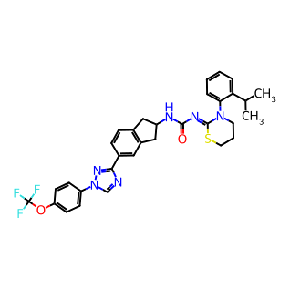 CC(C)c1ccccc1N1CCCSC1=NC(=O)NC1Cc2ccc(-c3ncn(-c4ccc(OC(F)(F)F)cc4)n3)cc2C1